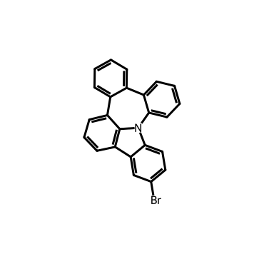 Brc1ccc2c(c1)c1cccc3c1n2-c1ccccc1-c1ccccc1-3